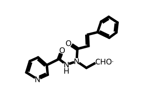 O=[C]CN(NC(=O)c1cccnc1)C(=O)/C=C/c1ccccc1